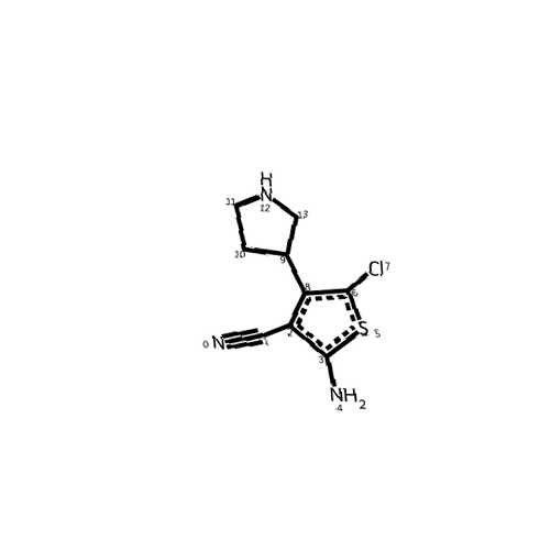 N#Cc1c(N)sc(Cl)c1C1CCNC1